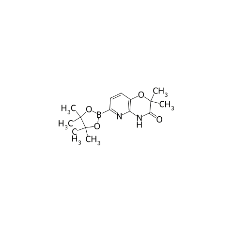 CC1(C)Oc2ccc(B3OC(C)(C)C(C)(C)O3)nc2NC1=O